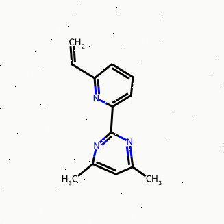 C=Cc1cccc(-c2nc(C)cc(C)n2)n1